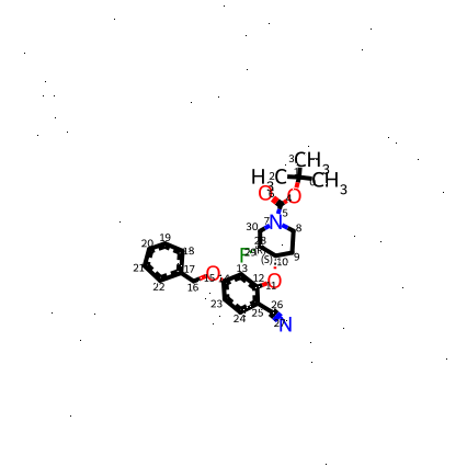 CC(C)(C)OC(=O)N1CC[C@H](Oc2cc(OCc3ccccc3)ccc2C#N)[C@H](F)C1